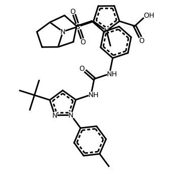 Cc1ccc(-n2nc(C(C)(C)C)cc2NC(=O)Nc2cccc(CC3CC4CCC(C3)N4S(=O)(=O)c3ccc(C(=O)O)n3C)c2)cc1